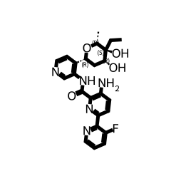 CC[C@]1(O)[C@H](O)C[C@H](c2ccncc2NC(=O)c2nc(-c3ncccc3F)ccc2N)O[C@@H]1C